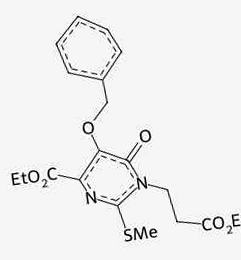 CCOC(=O)CCn1c(SC)nc(C(=O)OCC)c(OCc2ccccc2)c1=O